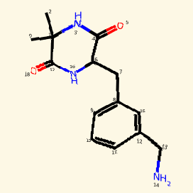 CC1(C)NC(=O)C(Cc2cccc(CN)c2)NC1=O